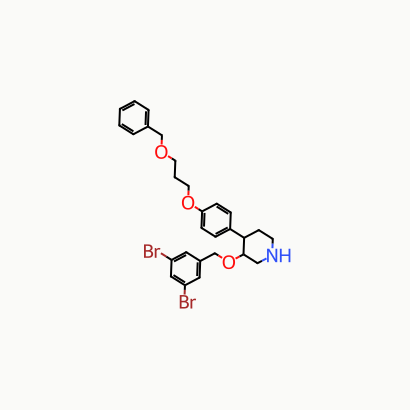 Brc1cc(Br)cc(COC2CNCCC2c2ccc(OCCCOCc3ccccc3)cc2)c1